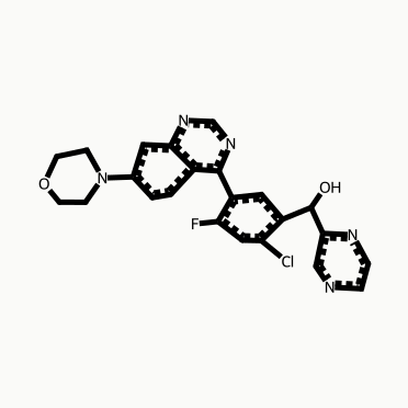 OC(c1cnccn1)c1cc(-c2ncnc3cc(N4CCOCC4)ccc23)c(F)cc1Cl